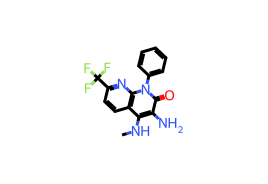 CNc1c(N)c(=O)n(-c2ccccc2)c2nc(C(F)(F)F)ccc12